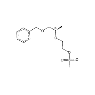 C[C@H](COCc1ccccc1)OCCOS(C)(=O)=O